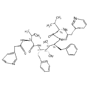 CC(C)[C@H](NC(=O)Cc1cccnc1)C(=O)N[C@@H](Cc1ccccc1)[C@@H](O)[C@H](O)[C@H](Cc1ccccc1)NC(=O)[C@@H](NC(=O)Cc1cccnc1)C(C)C